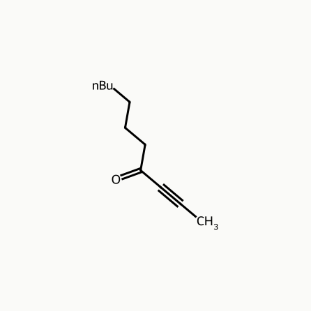 CC#CC(=O)CCCCCCC